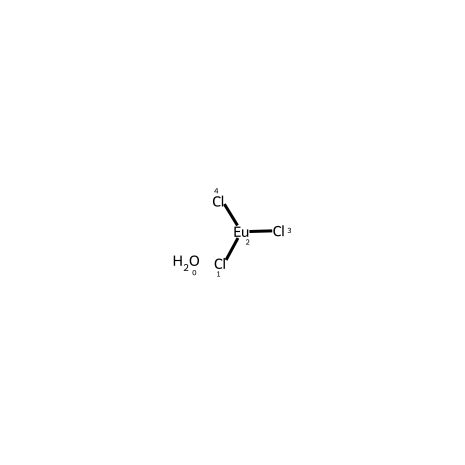 O.[Cl][Eu]([Cl])[Cl]